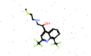 CSCCNCC(O)c1cc(C(F)(F)F)nc2c(C(F)(F)F)cccc12